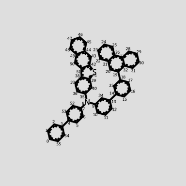 c1ccc(-c2ccc(N(c3cccc(-c4cccc(-c5cc6ccccc6c6ccccc56)c4)c3)c3ccc4c(c3)sc3cc5ccccc5cc34)cc2)cc1